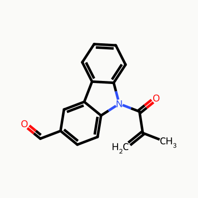 C=C(C)C(=O)n1c2ccccc2c2cc(C=O)ccc21